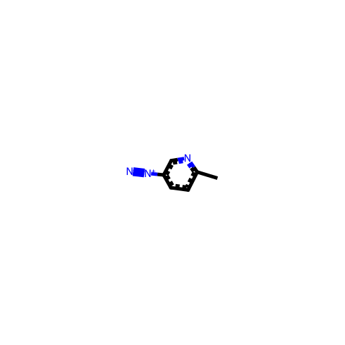 Cc1ccc([N+]#N)cn1